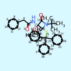 CO[C@@]1(NC(=O)Cc2ccccc2)C(=O)N(C(C)(C)C)[C@@]1(SC(c1ccccc1)(c1ccccc1)c1ccccc1)[SiH](C)C